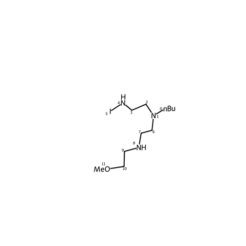 CCCCN(CCNI)CCNCCOC